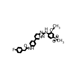 CCOc1cc(S(C)(=O)=O)ccc1Nc1nc2ccc(-c3ccc(NC(=O)Cc4ccc(F)cc4)cc3)cn2n1